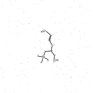 CCCCCCCCC=COC(CC(=O)[O-])C[N+](C)(C)C